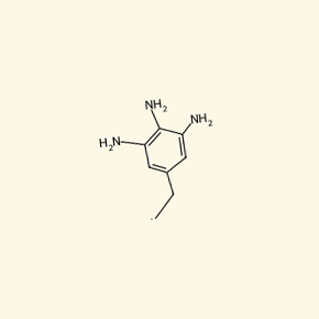 [CH2]Cc1cc(N)c(N)c(N)c1